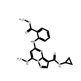 CNc1cc(Nc2ccccc2C(=O)OC)nc2c(C(=O)NC3CC3)cnn12